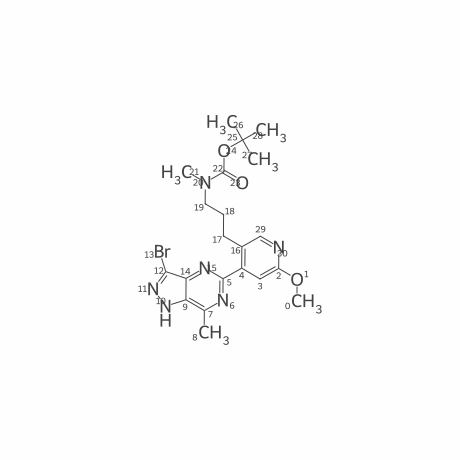 COc1cc(-c2nc(C)c3[nH]nc(Br)c3n2)c(CCCN(C)C(=O)OC(C)(C)C)cn1